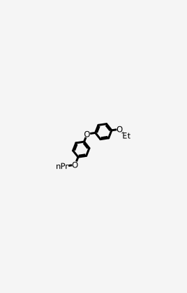 CCCOc1ccc(Oc2ccc(OCC)cc2)cc1